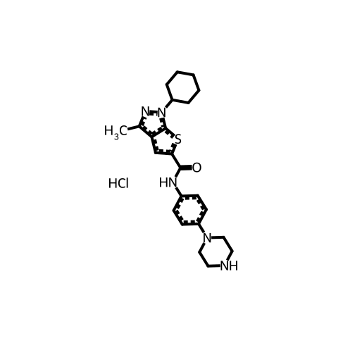 Cc1nn(C2CCCCC2)c2sc(C(=O)Nc3ccc(N4CCNCC4)cc3)cc12.Cl